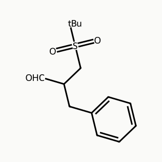 CC(C)(C)S(=O)(=O)CC(C=O)Cc1ccccc1